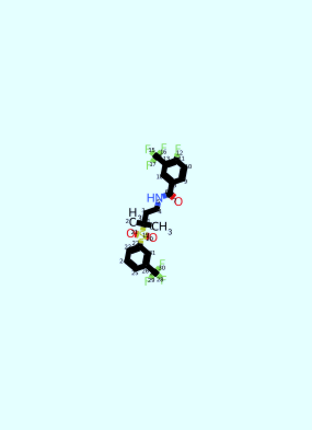 CC(C)(CCNC(=O)c1ccc(F)c(C(F)(F)F)c1)S(=O)(=O)c1cccc(C(F)(F)F)c1